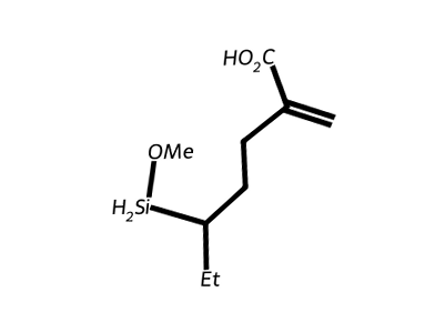 C=C(CCC(CC)[SiH2]OC)C(=O)O